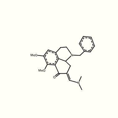 COc1cc2c3c(c1OC)C(=O)C(=CN(C)C)CC3N(Cc1ccccc1)CC2